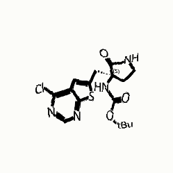 CC(C)(C)OC(=O)N[C@]1(Cc2cc3c(Cl)ncnc3s2)CCNC1=O